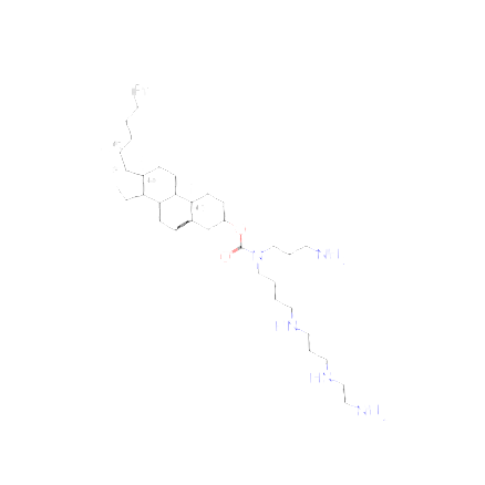 CC(C)CCC[C@@H](C)[C@H]1CCC2C3CC=C4CC(OC(=O)N(CCCN)CCCCNCCCNCCN)CC[C@]4(C)C3CC[C@@]21C